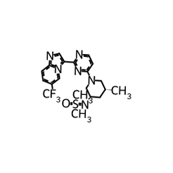 C[C@@H]1C[C@H](N=S(C)(C)=O)CN(c2ccnc(-c3cnc4ccc(C(F)(F)F)cn34)n2)C1